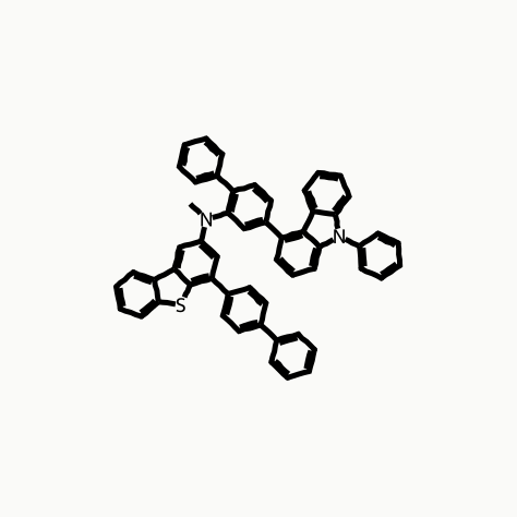 CN(c1cc(-c2ccc(-c3ccccc3)cc2)c2sc3ccccc3c2c1)c1cc(-c2cccc3c2c2ccccc2n3-c2ccccc2)ccc1-c1ccccc1